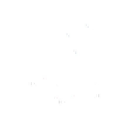 COC(=O)c1cc(-n2cnc(N)c2)cc(OC)c1OC